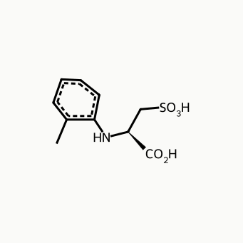 Cc1ccccc1N[C@@H](CS(=O)(=O)O)C(=O)O